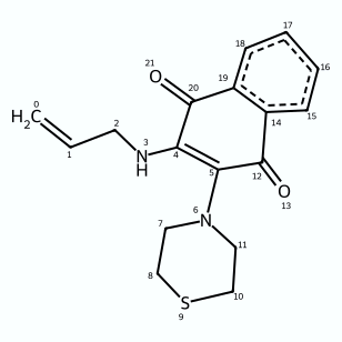 C=CCNC1=C(N2CCSCC2)C(=O)c2ccccc2C1=O